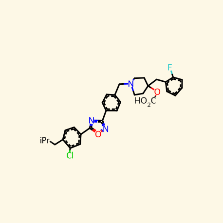 CC(C)Cc1ccc(-c2nc(-c3ccc(CN4CCC(Cc5ccccc5F)(OC(=O)O)CC4)cc3)no2)cc1Cl